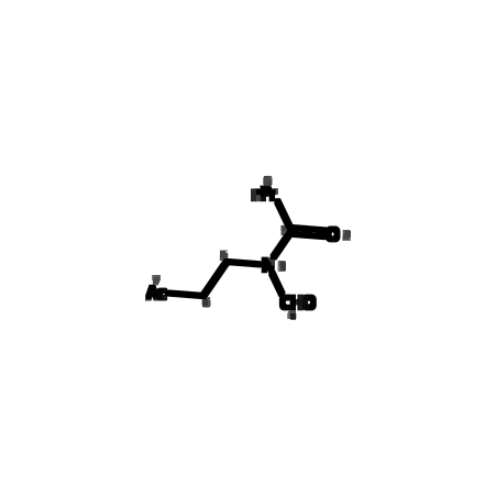 CCCC(=O)N(C=O)CCC(C)=O